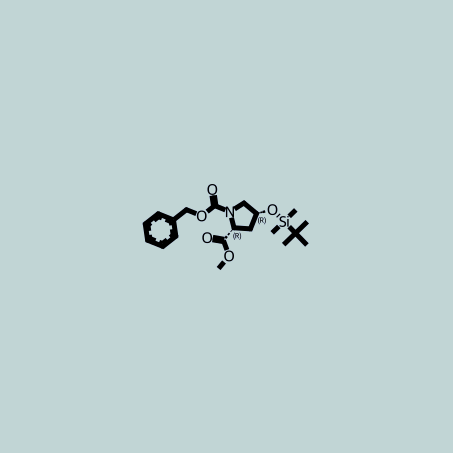 COC(=O)[C@H]1C[C@@H](O[Si](C)(C)C(C)(C)C)CN1C(=O)OCc1ccccc1